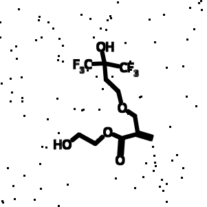 C=C(COCCC(O)(C(F)(F)F)C(F)(F)F)C(=O)OCCO